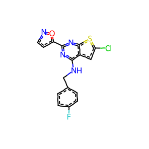 Fc1ccc(CNc2nc(-c3ccno3)nc3sc(Cl)cc23)cc1